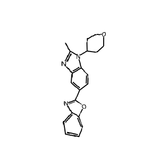 Cc1nc2cc(-c3nc4ccccc4o3)ccc2n1C1CCOCC1